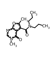 CCCN(CCC)C(=O)c1c(C)oc2ncn(C)c(=O)c12